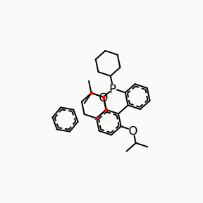 CC(C)Oc1cccc(OC(C)C)c1-c1ccccc1P(C1CCCCC1)C1CCCCC1.c1ccccc1